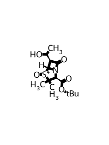 CC(O)[C@H]1C(=O)N2[C@@H]1[S+]([O-])C(C)(C)[C@@H]2C(=O)OC(C)(C)C